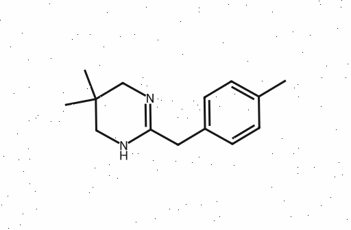 Cc1ccc(CC2=NCC(C)(C)CN2)cc1